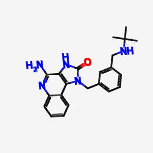 CC(C)(C)NCc1cccc(Cn2c(=O)[nH]c3c(N)nc4ccccc4c32)c1